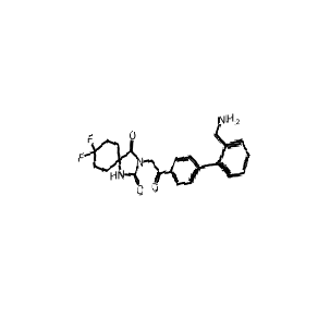 NCc1ccccc1-c1ccc(C(=O)CN2C(=O)NC3(CCC(F)(F)CC3)C2=O)cc1